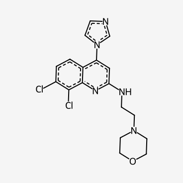 Clc1ccc2c(-n3ccnc3)cc(NCCN3CCOCC3)nc2c1Cl